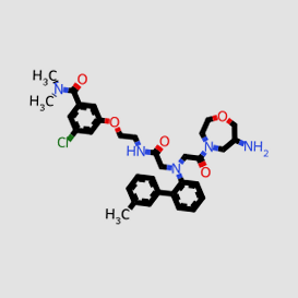 Cc1cccc(-c2ccccc2N(CC(=O)NCCOc2cc(Cl)cc(C(=O)N(C)C)c2)CC(=O)N2CCOCC(N)C2)c1